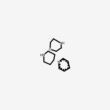 C1CCNCC1.C1COCCN1.c1ccncc1